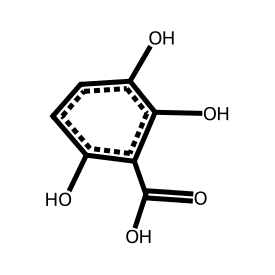 O=C(O)c1c(O)ccc(O)c1O